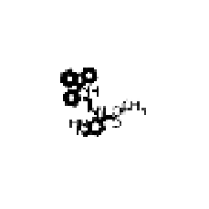 CCOC(=O)c1nn(CCCNC(c2ccccc2)(c2ccccc2)c2ccccc2)c2c1CCc1cn[nH]c1-2